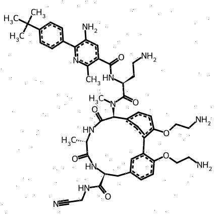 Cc1nc(-c2ccc(C(C)(C)C)cc2)c(N)cc1C(=O)N[C@@H](CCN)C(=O)N(C)[C@@H]1C(=O)N[C@@H](C)C(=O)N[C@H](C(=O)NCC#N)Cc2ccc(OCCN)c(c2)-c2cc1ccc2OCCN